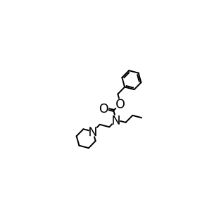 CCCN(CCN1CCCCC1)C(=O)OCc1ccccc1